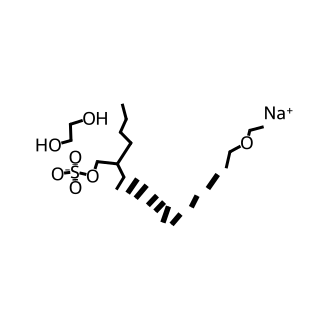 C=C.C=C.C=C.C=C.C=C.C=C.C=C.C=C.CCCCC(CC)COS(=O)(=O)[O-].CCOCC.OCCO.[Na+]